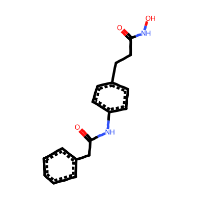 O=C(CCc1ccc(NC(=O)Cc2ccccc2)cc1)NO